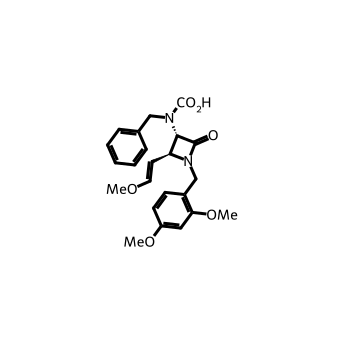 COC=C[C@H]1[C@H](N(Cc2ccccc2)C(=O)O)C(=O)N1Cc1ccc(OC)cc1OC